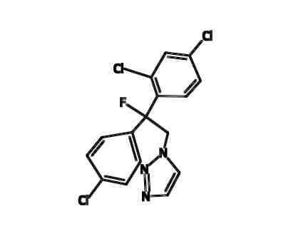 FC(Cn1ccnn1)(c1ccc(Cl)cc1)c1ccc(Cl)cc1Cl